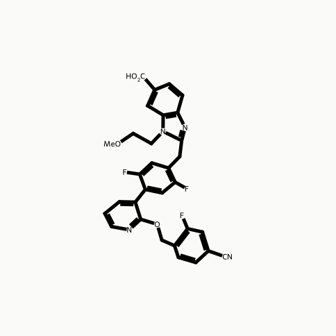 COCCn1c(Cc2cc(F)c(-c3cccnc3OCc3ccc(C#N)cc3F)cc2F)nc2ccc(C(=O)O)cc21